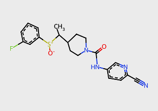 CC(C1CCN(C(=O)Nc2ccc(C#N)nc2)CC1)[S+]([O-])c1cccc(F)c1